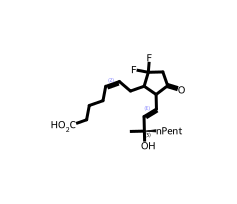 CCCCC[C@](C)(O)/C=C/C1C(=O)CC(F)(F)C1C/C=C\CCCC(=O)O